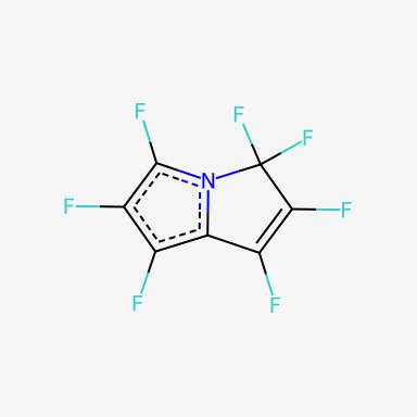 FC1=C(F)C(F)(F)n2c(F)c(F)c(F)c21